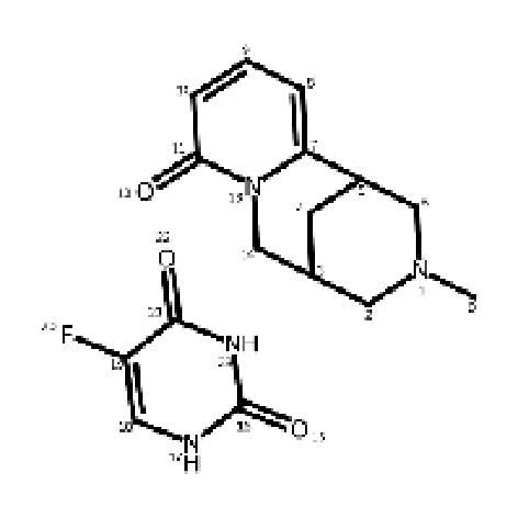 CN1CC2CC(C1)c1cccc(=O)n1C2.O=c1[nH]cc(F)c(=O)[nH]1